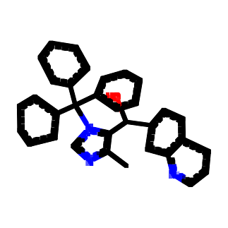 Cc1ncn(C(c2ccccc2)(c2ccccc2)c2ccccc2)c1C(O)c1ccc2cccnc2c1